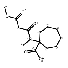 COC(=O)CC(=O)N(C)C1(C(=O)O)CCCCCC1